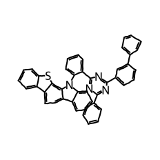 c1ccc(-c2cccc(-c3nc(-c4ccccc4)nc(-c4ccccc4-n4c5ccccc5c5ccc6c7ccccc7sc6c54)n3)c2)cc1